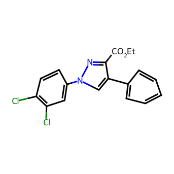 CCOC(=O)c1nn(-c2ccc(Cl)c(Cl)c2)cc1-c1ccccc1